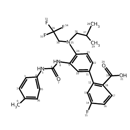 Cc1ccc(NC(=O)Nc2cc(-c3cc(F)ccc3C(=O)O)ccc2N(CC(C)C)CC(F)(F)F)cc1